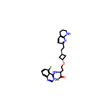 O=NC(=O)C(CCO[C@H]1C[C@H](CCc2ccc3c(n2)NCCC3)C1)Nc1ncnc2cccc(F)c12